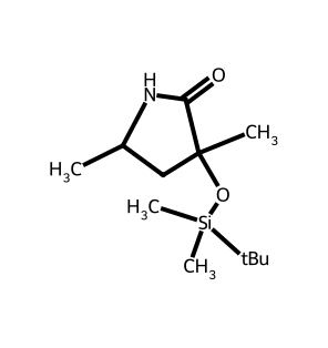 CC1CC(C)(O[Si](C)(C)C(C)(C)C)C(=O)N1